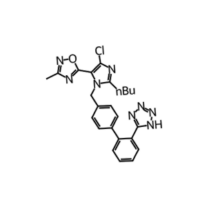 CCCCc1nc(Cl)c(-c2nc(C)no2)n1Cc1ccc(-c2ccccc2-c2nnn[nH]2)cc1